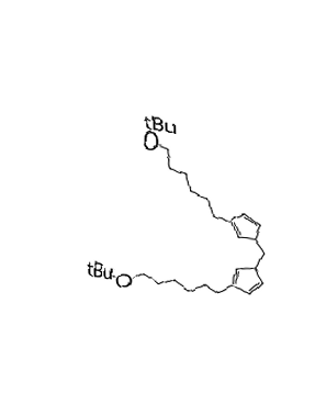 CC(C)(C)OCCCCCCC1=CC(CC2C=CC(CCCCCCOC(C)(C)C)=C2)C=C1